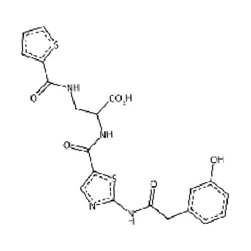 O=C(Cc1cccc(O)c1)Nc1ncc(C(=O)NC(CNC(=O)c2cccs2)C(=O)O)s1